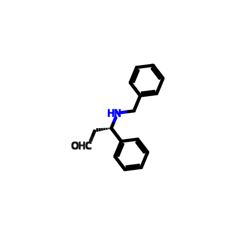 O=CC[C@H](NCc1ccccc1)c1ccccc1